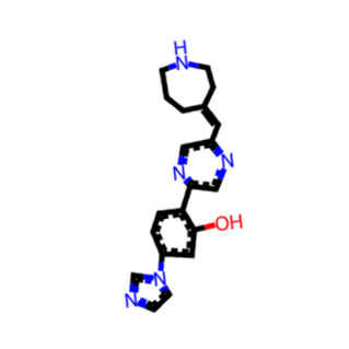 Oc1cc(-n2ccnc2)ccc1-c1cnc(C=C2CCCNCC2)cn1